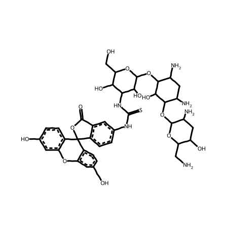 NCC1OC(OC2C(N)CC(N)C(OC3OC(CO)C(O)C(NC(=S)Nc4ccc5c(c4)C(=O)OC54c5ccc(O)cc5Oc5cc(O)ccc54)C3O)C2O)C(N)CC1O